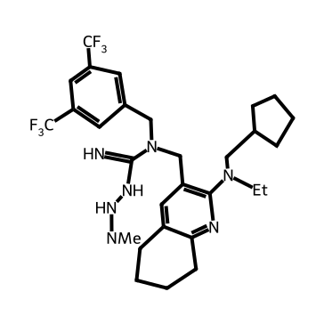 CCN(CC1CCCC1)c1nc2c(cc1CN(Cc1cc(C(F)(F)F)cc(C(F)(F)F)c1)C(=N)NNNC)CCCC2